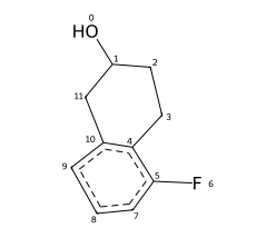 OC1CCc2c(F)cccc2C1